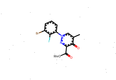 COC(=O)c1nn(-c2cccc(Br)c2F)cc(C)c1=O